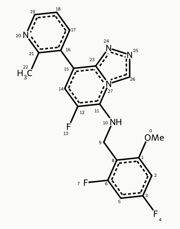 COc1cc(F)cc(F)c1CNc1c(F)cc(-c2cccnc2C)c2nncn12